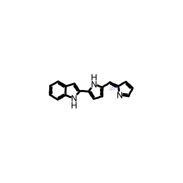 C1=C/C(=C/c2ccc(-c3cc4ccccc4[nH]3)[nH]2)N=C1